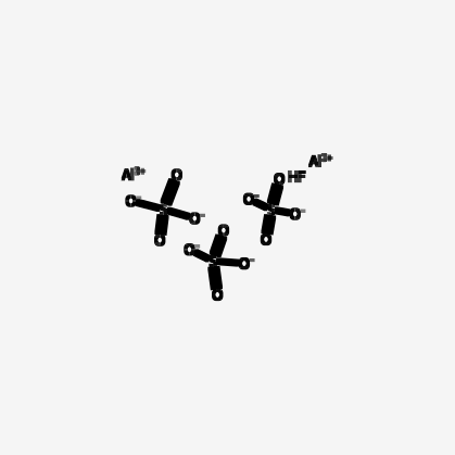 F.O=S(=O)([O-])[O-].O=S(=O)([O-])[O-].O=S(=O)([O-])[O-].[Al+3].[Al+3]